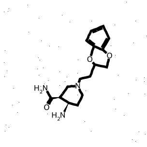 NC(=O)[C@H]1CN(CCC2COc3ccccc3O2)CC[C@H]1N